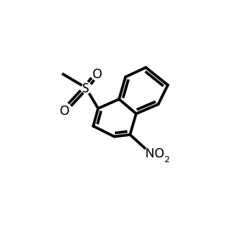 CS(=O)(=O)c1ccc([N+](=O)[O-])c2ccccc12